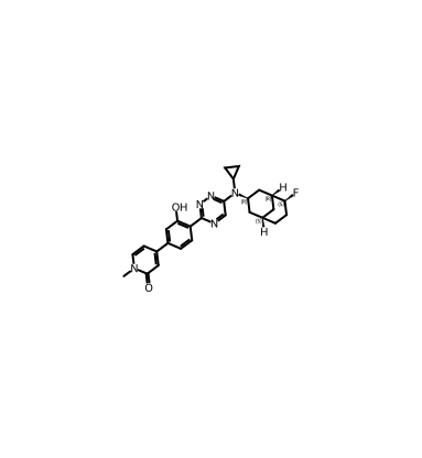 Cn1ccc(-c2ccc(-c3ncc(N(C4CC4)[C@@H]4C[C@H]5CC[C@H](F)[C@H](C5)C4)nn3)c(O)c2)cc1=O